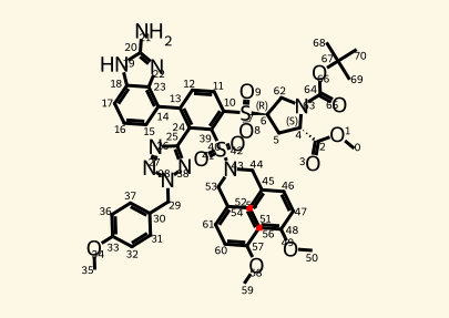 COC(=O)[C@@H]1C[C@@H](S(=O)(=O)c2ccc(-c3cccc4[nH]c(N)nc34)c(-c3nnn(Cc4ccc(OC)cc4)n3)c2S(=O)(=O)N(Cc2ccc(OC)cc2)Cc2ccc(OC)cc2)CN1C(=O)OC(C)(C)C